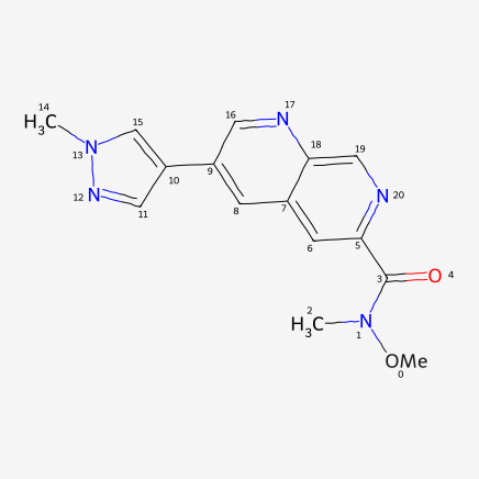 CON(C)C(=O)c1cc2cc(-c3cnn(C)c3)cnc2cn1